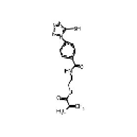 C=C(C)C(=O)OCCNC(=O)c1ccc(-n2nnnc2S)cc1